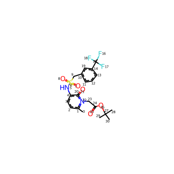 Cc1ccc(NS(=O)(=O)Cc2cccc(C(F)(F)F)c2)c(=O)n1CC(=O)OC(C)(C)C